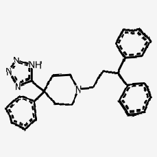 c1ccc(C(CCN2CCC(c3ccccc3)(c3nnn[nH]3)CC2)c2ccccc2)cc1